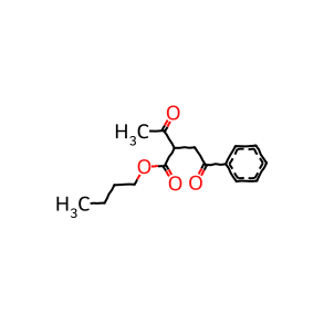 CCCCOC(=O)C(CC(=O)c1ccccc1)C(C)=O